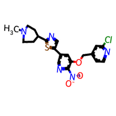 CN1CCC(c2ncc(-c3cnc([N+](=O)[O-])c(OCc4ccnc(Cl)c4)c3)s2)CC1